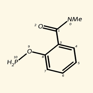 CNC(=O)c1ccccc1OP